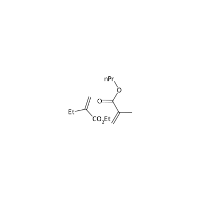 C=C(C)C(=O)OCCC.C=C(CC)C(=O)OCC